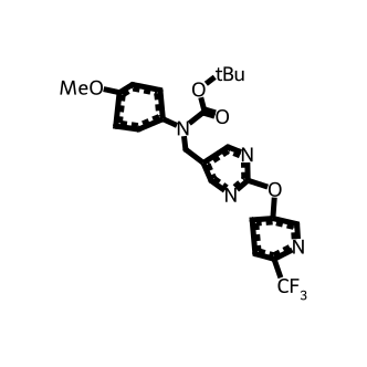 COc1ccc(N(Cc2cnc(Oc3ccc(C(F)(F)F)nc3)nc2)C(=O)OC(C)(C)C)cc1